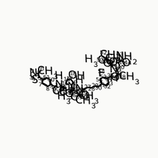 Cc1ncsc1-c1ccc([C@H](C)NC(=O)[C@@H]2C[C@@H](O)CN2C(=O)[C@@H](NC(=O)CCCCc2ccc(CO[C@H](C)[C@H](CCC(N)=O)NC(=O)OC(C)(C)C)c(F)c2)C(C)(C)C)cc1